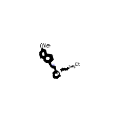 CCSSCC[n+]1ccccc1/C=C/c1ccc2cc(OC)ccc2c1